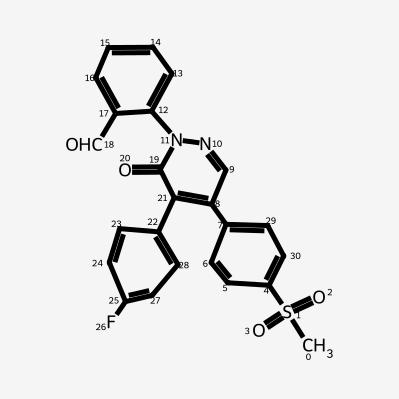 CS(=O)(=O)c1ccc(-c2cnn(-c3ccccc3C=O)c(=O)c2-c2ccc(F)cc2)cc1